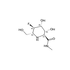 CNC(=O)[C@H]1N[C@H](CO)[C@@H](F)[C@H](O)[C@@H]1O